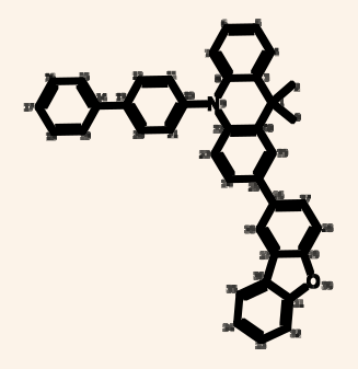 CC1(C)c2ccccc2N(c2ccc(-c3ccccc3)cc2)c2ccc(-c3ccc4oc5ccccc5c4c3)cc21